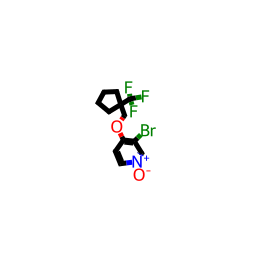 [O-][n+]1ccc(OCC2(C(F)(F)F)CCCC2)c(Br)c1